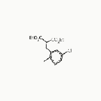 CCOC(=O)C(Cc1cc(Cl)ccc1C)C(=O)OCC